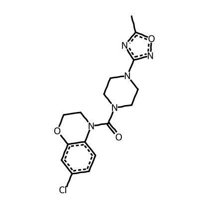 Cc1nc(N2CCN(C(=O)N3CCOc4cc(Cl)ccc43)CC2)no1